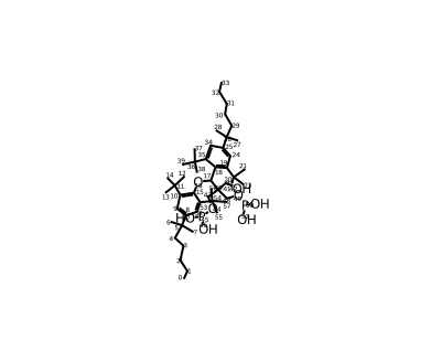 CCCCCC(C)(C)c1cc(C(C)(C)C)c(OC(c2c(C(C)(C)C)cc(C(C)(C)CCCCC)cc2C(C)(C)C)C(CO)(COP(O)O)COP(O)O)c(C(C)(C)C)c1